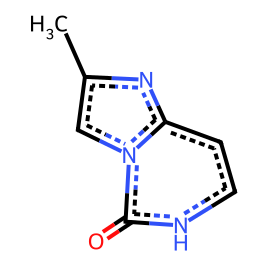 Cc1cn2c(=O)[nH]ccc2n1